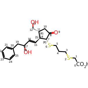 O=C(O)CSCCCS[C@H]1C(=O)C[C@@H](CO)[C@@H]1C=CC(O)Cc1ccccc1